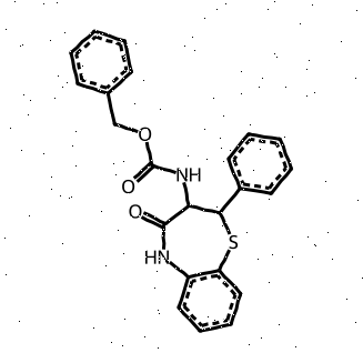 O=C(NC1C(=O)Nc2ccccc2SC1c1ccccc1)OCc1ccccc1